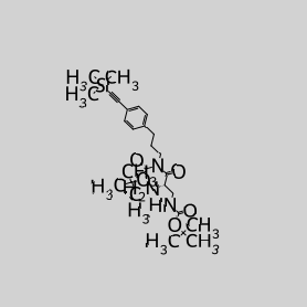 CC(C)(C)OC(=O)NC[C@H](N)C(=O)N(CCCc1ccc(C#C[Si](C)(C)C)cc1)C(=O)OC(C)(C)C